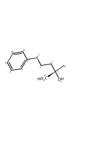 C[C@](O)(CCSc1ccccc1)C(=O)O